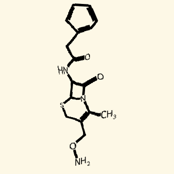 CC1=C(CON)CSC2C(NC(=O)Cc3ccccc3)C(=O)N12